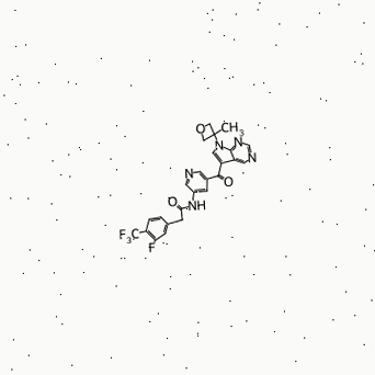 CC1(n2cc(C(=O)c3cncc(NC(=O)Cc4ccc(C(F)(F)F)c(F)c4)c3)c3cncnc32)COC1